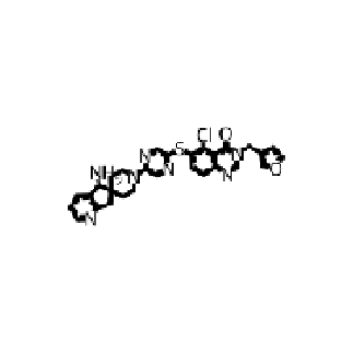 N[C@@H]1c2cccnc2CC12CCN(c1cnc(Sc3ccc4ncn(Cc5ccoc5)c(=O)c4c3Cl)cn1)CC2